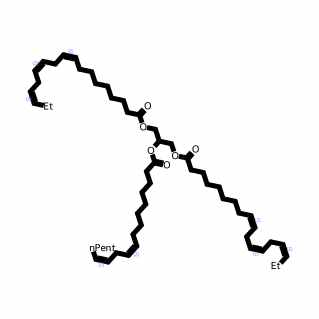 CC/C=C\C/C=C\C/C=C\CCCCCCCC(=O)OCC(COC(=O)CCCCCCC/C=C\C/C=C\C/C=C\CC)OC(=O)CCCCCCC/C=C\C/C=C\CCCCC